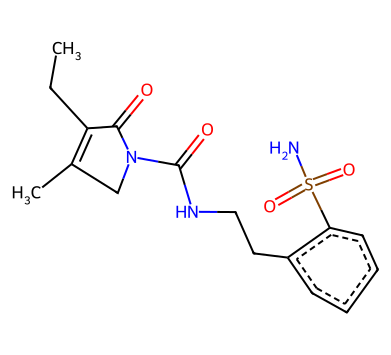 CCC1=C(C)CN(C(=O)NCCc2ccccc2S(N)(=O)=O)C1=O